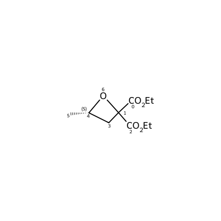 CCOC(=O)C1(C(=O)OCC)C[C@H](C)O1